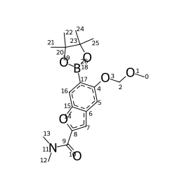 COCOc1cc2cc(C(=O)N(C)C)oc2cc1B1OC(C)(C)C(C)(C)O1